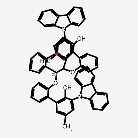 Cc1cc(-c2ccccc2OC2c3ccccc3-c3ccccc3[C@@H]2Oc2ccccc2-c2cc(C)cc(-n3c4ccccc4c4ccccc43)c2O)c(O)c(-n2c3ccccc3c3ccccc32)c1